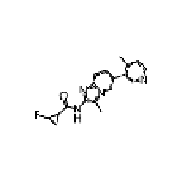 Cc1ccncc1-c1ccc2nc(NC(=O)C3CC3F)c(C)n2c1